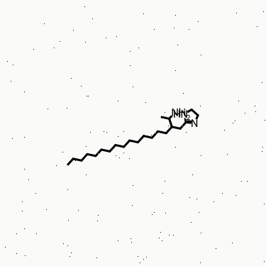 CCCCCCCCCCCCCCCC(CC1=NCCN1)C(C)N